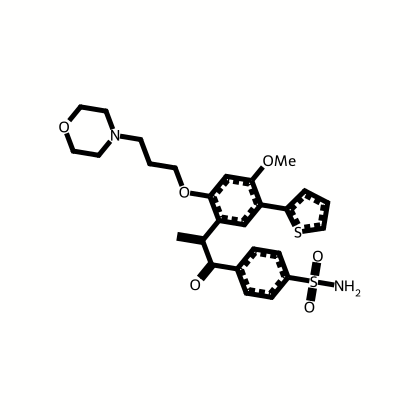 C=C(C(=O)c1ccc(S(N)(=O)=O)cc1)c1cc(-c2cccs2)c(OC)cc1OCCCN1CCOCC1